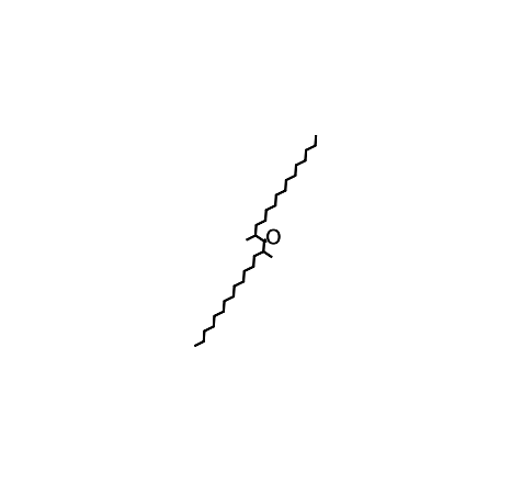 CCCCCCCCCCCCCC(C)C(=O)C(C)CCCCCCCCCCCCC